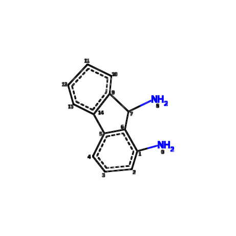 Nc1cccc2c1C(N)c1ccccc1-2